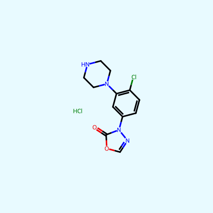 Cl.O=c1ocnn1-c1ccc(Cl)c(N2CCNCC2)c1